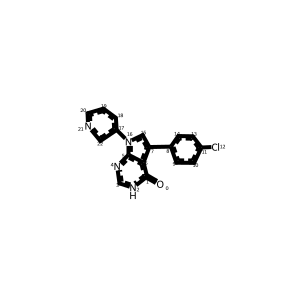 O=c1[nH]cnc2c1c(-c1ccc(Cl)cc1)cn2-c1cccnc1